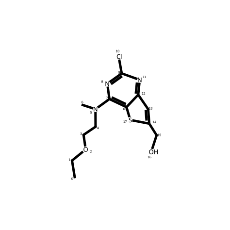 CCOCCN(C)c1nc(Cl)nc2cc(CO)sc12